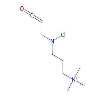 C[N+](C)(C)CCCN(Cl)CC=C=O